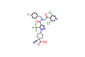 N#C[C@]1(C(=O)O)CC[C@H](n2ncc(C(=O)N(CC(=O)c3c(Cl)cncc3Cl)Cc3ccc(F)cc3)c2C(F)(F)F)CC1